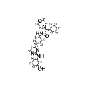 O=C(Nc1ccc(-c2ccnc(Nc3cccc(O)c3)n2)cc1)C(c1ccccc1)N1CCOCC1